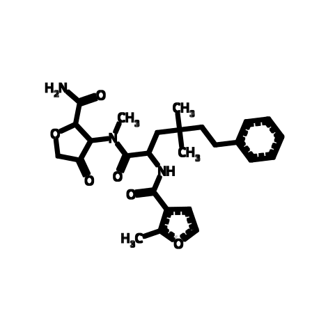 Cc1occc1C(=O)NC(CC(C)(C)CCc1ccccc1)C(=O)N(C)C1C(=O)COC1C(N)=O